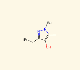 CCC(C)n1nc(CC(C)C)c(O)c1C